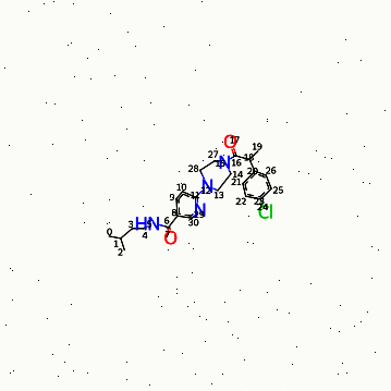 CC(C)CCNC(=O)c1ccc(N2CCN(C(=O)C(C)c3ccc(Cl)cc3)CC2)nc1